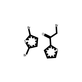 Brc1ccc(Br)s1.O=C(CBr)c1cccs1